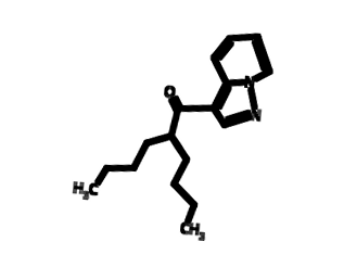 CCCCC(CCCC)C(=O)c1cnn2ccccc12